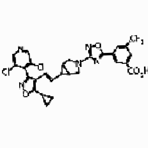 O=C(O)c1cc(-c2nc(N3CC4C(C=Cc5c(-c6c(Cl)cncc6Cl)noc5C5CC5)C4C3)no2)cc(C(F)(F)F)c1